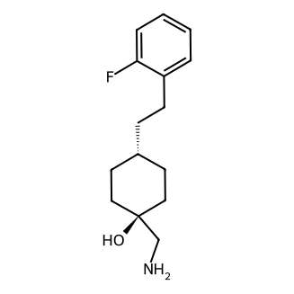 NC[C@]1(O)CC[C@H](CCc2ccccc2F)CC1